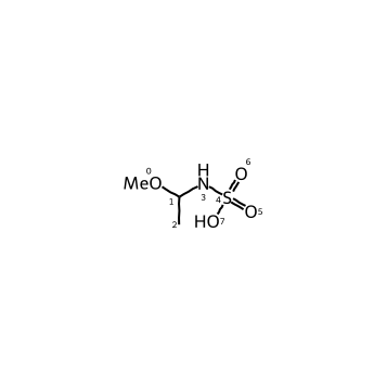 COC(C)NS(=O)(=O)O